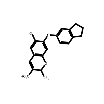 O=C(O)C1=Cc2cc(Cl)c(Oc3ccc4c(c3)CCC4)cc2OC1C(F)(F)F